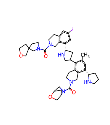 Cc1cc([C@@H]2CCCN2)c2c(c1C1CN[C@H](c3cc(I)cc4c3CN(C(=O)N3CCC5(CCOC5)C3)CC4)C1)CCN(C(=O)N1CC3CC1CO3)C2